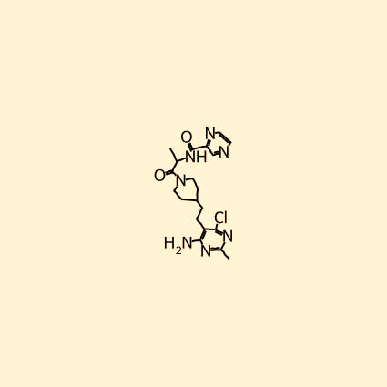 Cc1nc(N)c(CCC2CCN(C(=O)C(C)NC(=O)c3cnccn3)CC2)c(Cl)n1